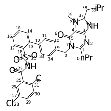 CCCc1nc2c(c(=O)n1Cc1ccc(-c3ccccc3S(=O)(=O)NC(=O)c3cc(Cl)ccc3Cl)cc1)N(C)C(CC(C)C)N2